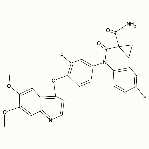 COc1cc2nccc(Oc3ccc(N(C(=O)C4(C(N)=O)CC4)c4ccc(F)cc4)cc3F)c2cc1OC